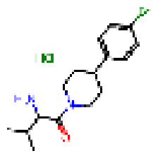 CC(C)[C@@H](N)C(=O)N1CCC(c2ccc(Br)cc2)CC1.Cl